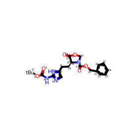 CC(C)(C)OC(=O)Nc1ncc(CC[C@H]2C(=O)OCN2C(=O)OCc2ccccc2)[nH]1